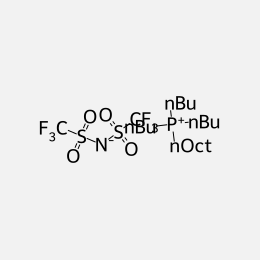 CCCCCCCC[P+](CCCC)(CCCC)CCCC.O=S(=O)([N-]S(=O)(=O)C(F)(F)F)C(F)(F)F